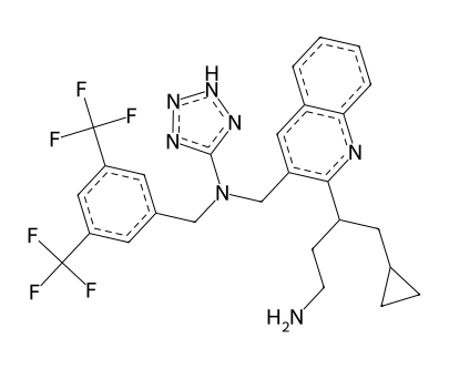 NCCC(CC1CC1)c1nc2ccccc2cc1CN(Cc1cc(C(F)(F)F)cc(C(F)(F)F)c1)c1nn[nH]n1